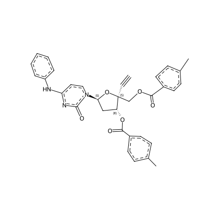 C#C[C@@]1(COC(=O)c2ccc(C)cc2)O[C@H](n2ccc(Nc3ccccc3)nc2=O)C[C@H]1OC(=O)c1ccc(C)cc1